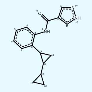 O=C(Nc1ccccc1C1CC1C1CC1)c1cn[nH]c1